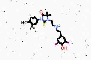 CC1(C)C(=O)N(c2ccc(C#N)c(C(F)(F)F)c2)C(=S)N1CCNCCc1cc(I)c(O)c(I)c1